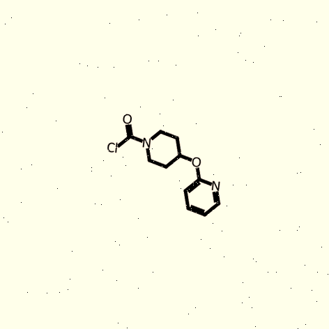 O=C(Cl)N1CCC(Oc2ccccn2)CC1